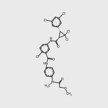 COCC(=O)N(C)c1ccc(NC(=O)c2cc(NC(=O)[C@H]3[C@H](c4cc(Cl)cc(Cl)c4)C3(Cl)Cl)ccc2Cl)cc1